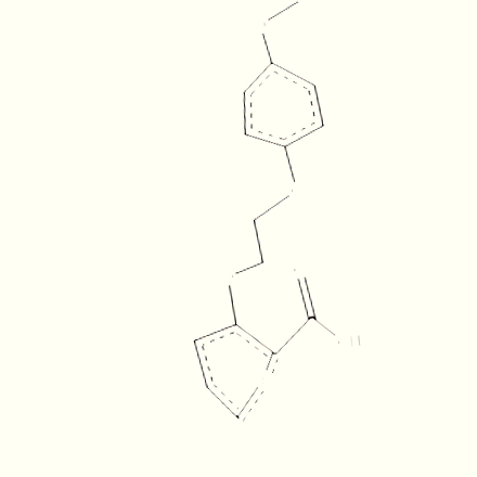 COc1ccc(OCCOc2ccccc2C(=O)O)cc1